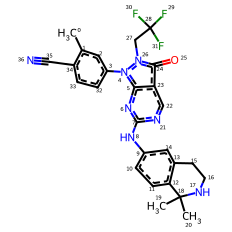 Cc1cc(-n2c3nc(Nc4ccc5c(c4)CCNC5(C)C)ncc3c(=O)n2CC(F)(F)F)ccc1C#N